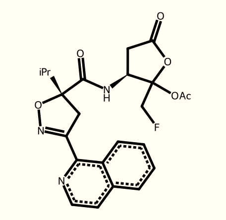 CC(=O)OC1(CF)OC(=O)C[C@@H]1NC(=O)[C@]1(C(C)C)CC(c2nccc3ccccc23)=NO1